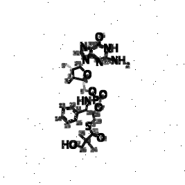 C[C@H]1[C@H](C)[C@@H](COP(=O)(NCc2ccccc2)OCCSC(=O)C(C)(C)CO)O[C@H]1n1cnc2c(=O)[nH]c(N)nc21